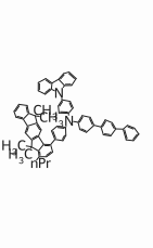 CCCc1ccc(-c2ccc(N(c3ccc(-c4ccc(-c5ccccc5)cc4)cc3)c3ccc(-n4c5ccccc5c5ccccc54)cc3)cc2)c2c1C(C)(C)c1cc3c(cc1-2)C(C)(C)c1ccccc1-3